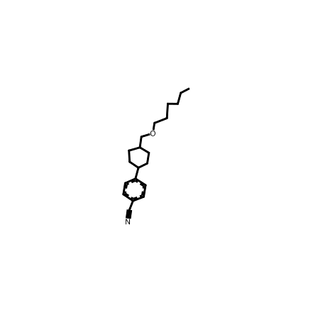 CCCCCCOCC1CCC(c2ccc(C#N)cc2)CC1